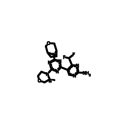 C[C@H]1COCCN1c1nc(-c2cnc(N)nc2C(F)F)nc(N2C3CCC2COC3)n1